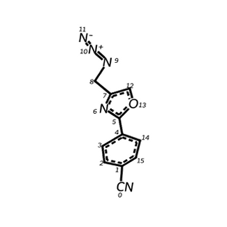 N#Cc1ccc(-c2nc(CN=[N+]=[N-])co2)cc1